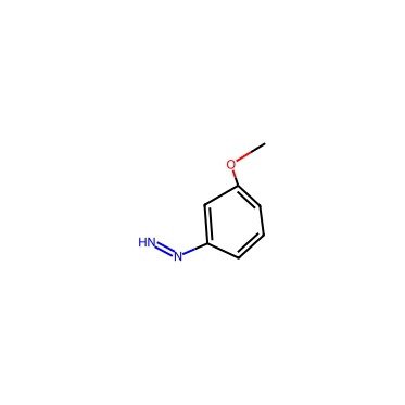 COc1cccc(N=N)c1